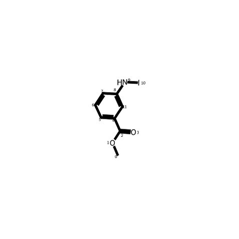 COC(=O)c1cccc(NI)c1